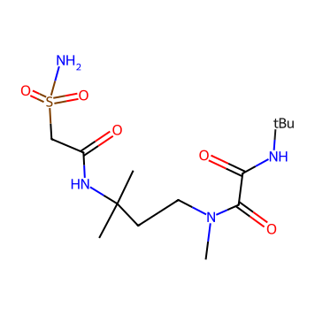 CN(CCC(C)(C)NC(=O)CS(N)(=O)=O)C(=O)C(=O)NC(C)(C)C